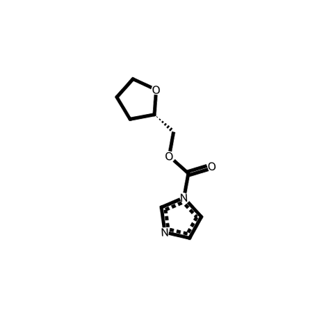 O=C(OC[C@@H]1CCCO1)n1ccnc1